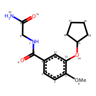 COc1ccc(C(=O)NCC(N)=O)cc1OC1CCCC1